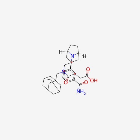 NC(=O)c1cccc([C@H]2C[C@H]3CC[C@@H](C2)N3CCN(CC23CC4CC(CC(C4)C2)C3)C(=O)CCC(=O)O)c1